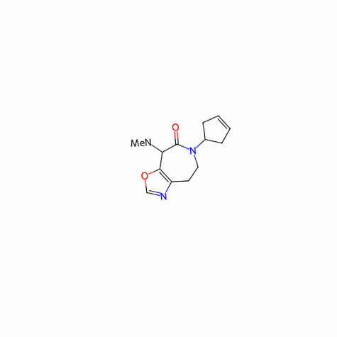 CNC1C(=O)N(C2CC=CC2)CCc2ncoc21